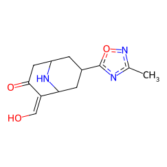 Cc1noc(C2CC3CC(=O)C(=CO)C(C2)N3)n1